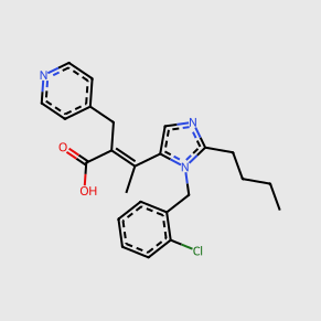 CCCCc1ncc(/C(C)=C(\Cc2ccncc2)C(=O)O)n1Cc1ccccc1Cl